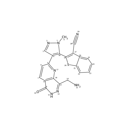 Cn1ncc(-c2ccc3c(=O)[nH]nc(CN)c3n2)c1-c1sc2ccccc2c1C#N